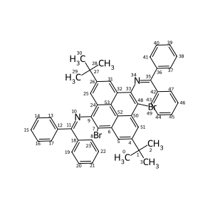 CC(C)(C)c1cc2c(Br)c(N=C(c3ccccc3)c3ccccc3)c3cc(C(C)(C)C)cc4c(N=C(c5ccccc5)c5ccccc5)c(Br)c(c1)c2c34